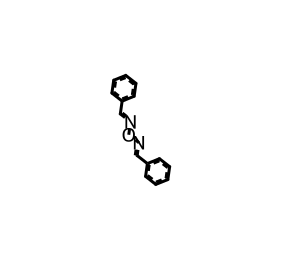 C(=NON=Cc1ccccc1)c1ccccc1